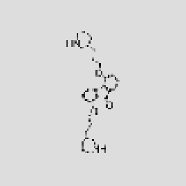 O=C1c2cccc(OCCCC3CCCNC3)c2-c2cccc(OCCCC3CCCNC3)c21